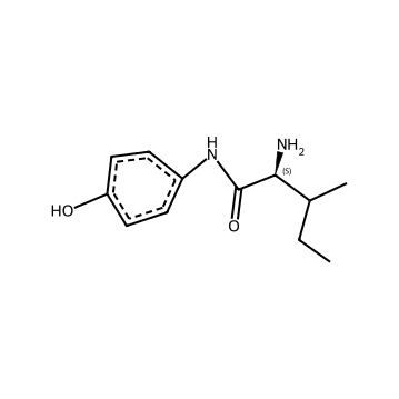 CCC(C)[C@H](N)C(=O)Nc1ccc(O)cc1